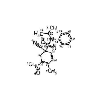 CC1=C([N+](=O)[O-])CC(C#N)(S(=O)(=O)N(c2ccccc2)C(C)C)C=C1